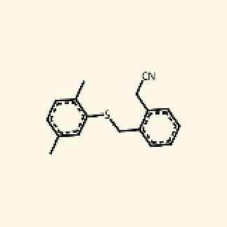 Cc1ccc(C)c(SCc2ccccc2CC#N)c1